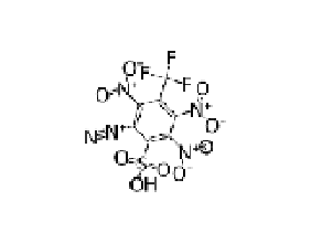 N#[N+]c1c([N+](=O)[O-])c(C(F)(F)F)c([N+](=O)[O-])c([N+](=O)[O-])c1S(=O)(=O)O